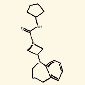 O=C(NC1CCCC1)N1CC(N2CCCc3ccccc32)C1